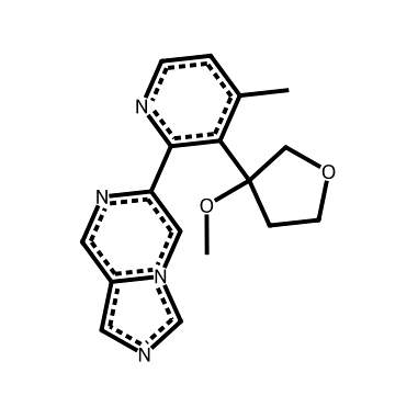 COC1(c2c(C)ccnc2-c2cn3cncc3cn2)CCOC1